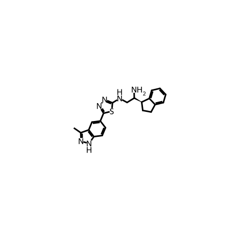 Cc1n[nH]c2ccc(-c3nnc(NCC(N)[C@@H]4CCc5ccccc54)s3)cc12